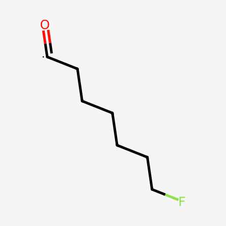 O=[C]CCCCCCF